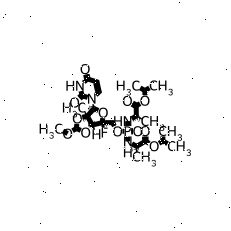 COC1O[C@H]2[C@@](C)(O1)[C@H](n1ccc(=O)[nH]c1=O)O[C@]2(F)COP(=O)(N[C@@H](C)C(=O)OC(C)C)N[C@@H](C)C(=O)OC(C)C